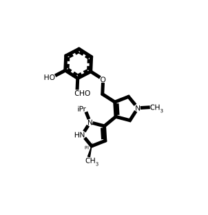 CC(C)N1N[C@H](C)C=C1C1=C(COc2cccc(O)c2C=O)CN(C)C1